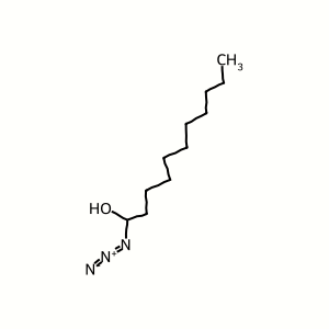 CCCCCCCCCCC(O)N=[N+]=[N-]